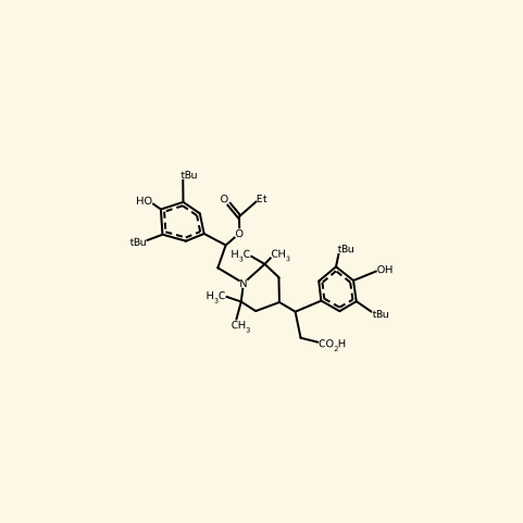 CCC(=O)OC(CN1C(C)(C)CC(C(CC(=O)O)c2cc(C(C)(C)C)c(O)c(C(C)(C)C)c2)CC1(C)C)c1cc(C(C)(C)C)c(O)c(C(C)(C)C)c1